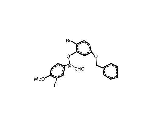 COc1ccc([C@@H](C=O)Oc2cc(OCc3ccccc3)ccc2Br)cc1F